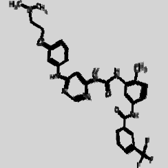 Cc1ccc(NC(=O)c2cccc(C(F)(F)F)c2)cc1NC(=O)Nc1cc(Nc2cccc(OCCN(C)C)c2)ncn1